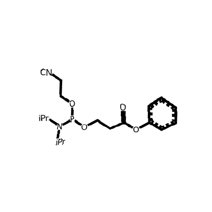 [C-]#[N+]CCOP(OCCC(=O)Oc1ccccc1)N(C(C)C)C(C)C